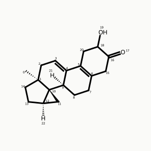 C[C@]12CC=C3C4=C(CC[C@H]3[C@@]13C[C@H]3CC2)CC(=O)C(O)C4